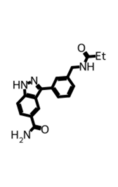 CCC(=O)NCc1cccc(-c2n[nH]c3ccc(C(N)=O)cc23)c1